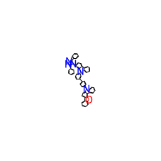 c1ccc(-c2nnc(-c3ccccc3)n2-c2ccc3c4ccccc4n(-c4cccc(-c5ccc(-n6c7ccccc7c7c8oc9ccccc9c8ccc76)cc5)c4)c3c2)cc1